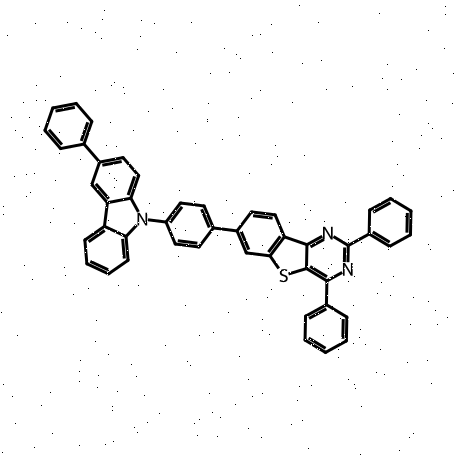 c1ccc(-c2ccc3c(c2)c2ccccc2n3-c2ccc(-c3ccc4c(c3)sc3c(-c5ccccc5)nc(-c5ccccc5)nc34)cc2)cc1